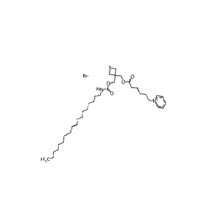 CCCCCCCCCCCCCCCCCCNC(=O)OCC1(COC(=O)CCCCC[n+]2ccccc2)CSC1.[Br-]